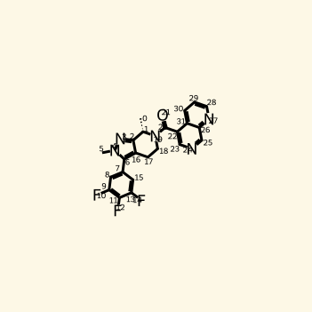 C[C@H]1c2nn(C)c(-c3cc(F)c(F)c(F)c3)c2CCN1C(=O)c1cncc2ncccc12